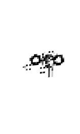 COc1cccc(N2C(=O)Nc3ccccc3S2(=O)=O)c1